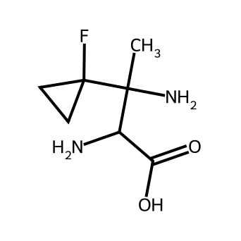 CC(N)(C(N)C(=O)O)C1(F)CC1